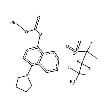 CC(C)(C)OC(=O)Oc1ccc([S+]2CCCC2)c2ccccc12.O=S(=O)([O-])C(F)(F)C(F)(F)C(F)(F)C(F)(F)F